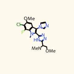 CNC(COC)c1nnc(-c2c(-n3ccnc3)c3cc(OC)c(Cl)c(F)c3n2C)[nH]1